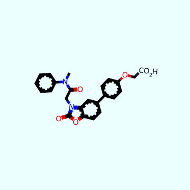 CN(C(=O)Cn1c(=O)oc2ccc(-c3ccc(OCC(=O)O)cc3)cc21)c1ccccc1